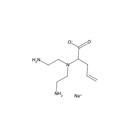 C=CCC(C(=O)[O-])N(CCN)CCN.[Na+]